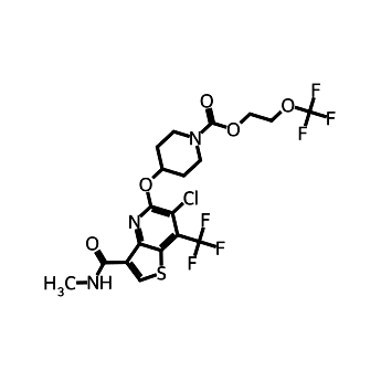 CNC(=O)c1csc2c(C(F)(F)F)c(Cl)c(OC3CCN(C(=O)OCCOC(F)(F)F)CC3)nc12